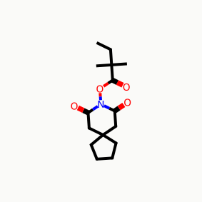 CCC(C)(C)C(=O)ON1C(=O)CC2(CCCC2)CC1=O